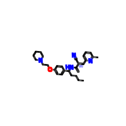 C=C(NC(CCCC)c1ccc(OCCN2CCCCC2)cc1)/C(C#N)=C/c1cccc(C)n1